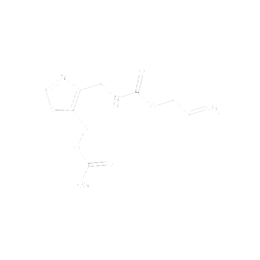 C=CCOC(=O)NCc1ncsc1SOC(=O)O